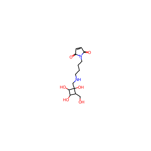 O=C1C=CC(=O)N1CCCCNCC1(O)C(O)C(O)C1CO